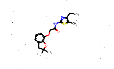 CCc1nc(NC(=O)COc2cccc3c2OC(C)(C)C3)sc1C